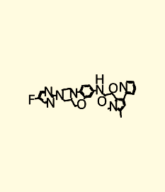 Cc1cc(-c2ccccn2)c(C(=O)C(=O)Nc2ccc3c(c2)OCC2CN(c4ncc(F)cn4)CCN32)n1C